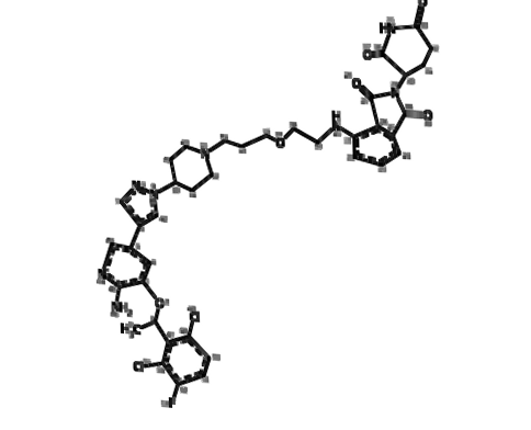 CC(Oc1cc(-c2cnn(C3CCN(CCCOCCNc4cccc5c4C(=O)N(C4CCC(=O)NC4=O)C5=O)CC3)c2)cnc1N)c1c(Cl)ccc(F)c1Cl